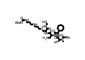 CCCC(C(=O)NC(C(=O)NC(CN)C(=O)NC(COCCCNCCCNC(=O)OC(C)(C)C)C(=O)NCO)C1CCCCCC1)N(C)C(=O)C(C)CC